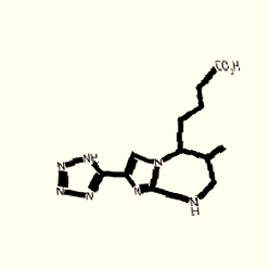 CC1CNc2nc(-c3nnn[nH]3)cn2C1CCCC(=O)O